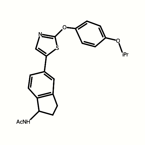 CC(=O)NC1CCc2cc(-c3cnc(Oc4ccc(OC(C)C)cc4)s3)ccc21